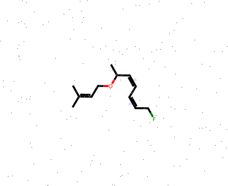 CC(C)=CCOC(C)/C=C\C=C/CF